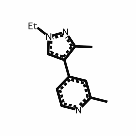 CCn1cc(-c2ccnc(C)c2)c(C)n1